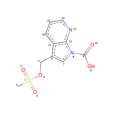 CS(=O)(=O)OCc1cn(C(=O)O)c2ncccc12